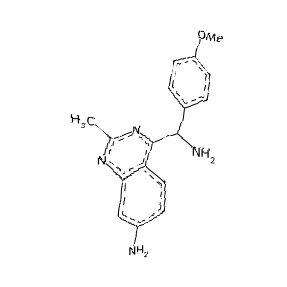 COc1ccc(C(N)c2nc(C)nc3cc(N)ccc23)cc1